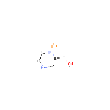 OCC1CNCCN1P